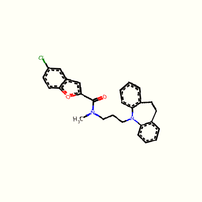 CN(CCCN1c2ccccc2CCc2ccccc21)C(=O)c1cc2cc(Cl)ccc2o1